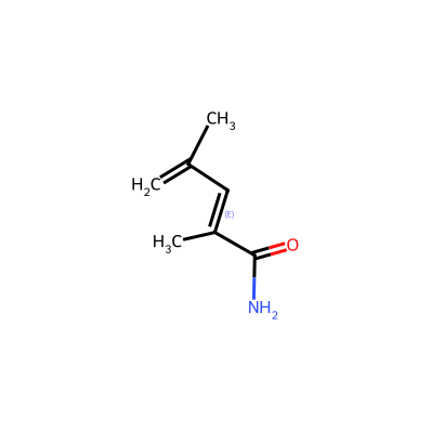 C=C(C)/C=C(\C)C(N)=O